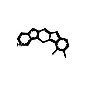 Cc1ccc2c(c1C)=C1Cc3c(cc4cc[nH]cc3-4)C=C1C=2